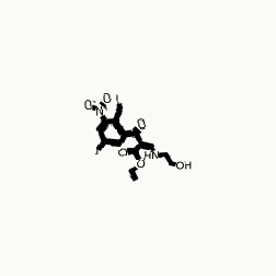 CCOC(=O)C(=CNCCO)C(=O)c1cc(I)cc([N+](=O)[O-])c1CI